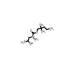 CCCC(C)(C)COC(=O)N(N)CC(C)O